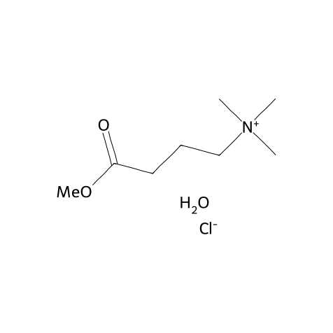 COC(=O)CCC[N+](C)(C)C.O.[Cl-]